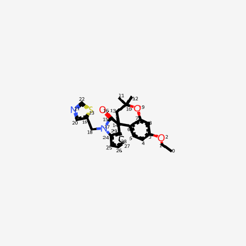 CCOc1ccc2c(c1)OC(C)(C)CC21C(=O)N(Cc2cncs2)c2ccccc21